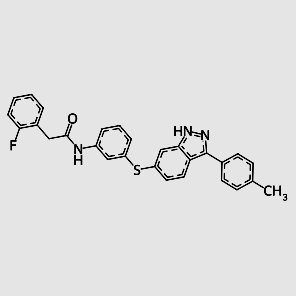 Cc1ccc(-c2n[nH]c3cc(Sc4cccc(NC(=O)Cc5ccccc5F)c4)ccc23)cc1